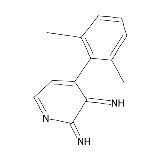 Cc1cccc(C)c1C1=CC=NC(=N)C1=N